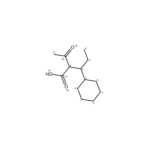 CCC(C1CCCCC1)C(C(C)=O)C(=O)O